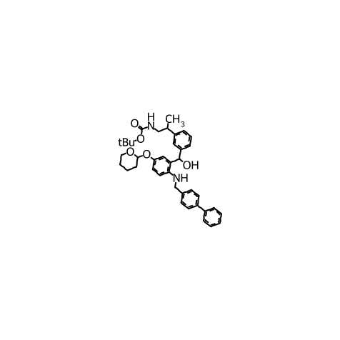 CC(CNC(=O)OC(C)(C)C)c1cccc(C(O)c2cc(OC3CCCCO3)ccc2NCc2ccc(-c3ccccc3)cc2)c1